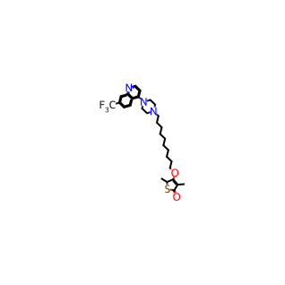 CC1=C(OCCCCCCCCCCN2CCN(c3ccnc4cc(C(F)(F)F)ccc34)CC2)C(C)SC1=O